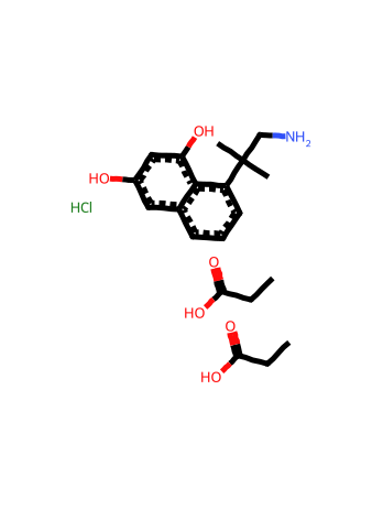 CC(C)(CN)c1cccc2cc(O)cc(O)c12.CCC(=O)O.CCC(=O)O.Cl